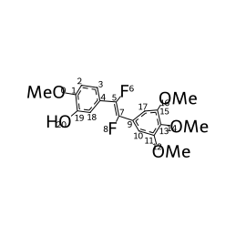 COc1ccc(C(F)=C(F)c2cc(OC)c(OC)c(OC)c2)cc1O